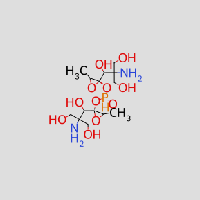 CC1O[C@@]1(O[PH](=O)O[C@@]1(C(O)C(N)(CO)CO)OC1C)C(O)C(N)(CO)CO